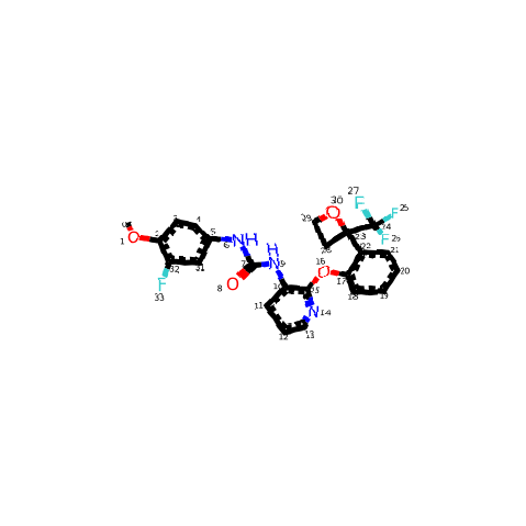 COc1ccc(NC(=O)Nc2cccnc2Oc2ccccc2C2(C(F)(F)F)CCO2)cc1F